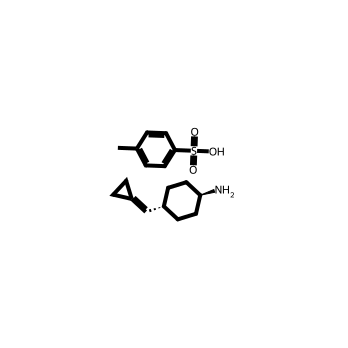 Cc1ccc(S(=O)(=O)O)cc1.N[C@H]1CC[C@H](C=C2CC2)CC1